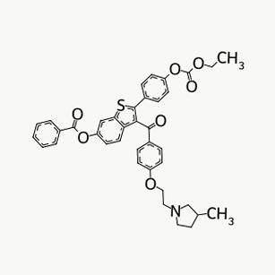 CCOC(=O)Oc1ccc(-c2sc3cc(OC(=O)c4ccccc4)ccc3c2C(=O)c2ccc(OCCN3CCC(C)C3)cc2)cc1